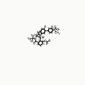 [2H]C([2H])([2H])N1C(=O)c2cccc(OC(F)F)c2[C@H]2C[C@@H]1c1nc3cc(F)c(-c4ccc(P(C)(C)=O)cc4)cc3n12